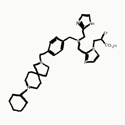 CCC(Cn1ccnc1CN(Cc1ccc(CN2CCC3(CCN(C4CCCCC4)CC3)C2)cc1)Cc1ncc[nH]1)C(=O)O